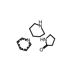 C1CCNCC1.O=C1CCCN1.c1ccncc1